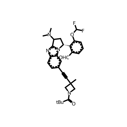 CN(C)C1C[C@H](c2c(C=O)cccc2OC(F)F)n2c1nc1ccc(C#CC3(C)CN(C(=O)C(C)(C)C)C3)cc12